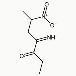 [CH2]C(CC(=N)C(=O)CC)[N+](=O)[O-]